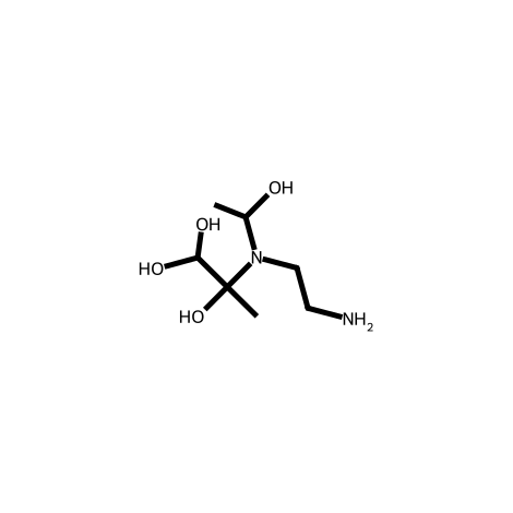 CC(O)N(CCN)C(C)(O)C(O)O